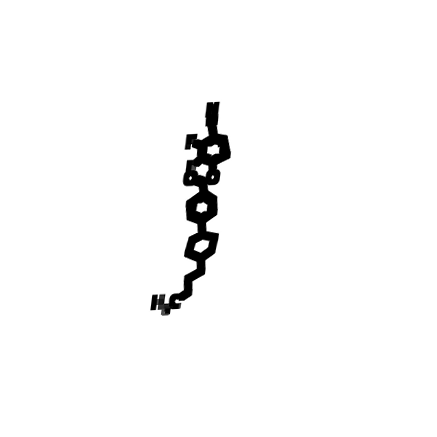 CCCCC1CCC(c2ccc(C(=O)Oc3ccc(C#N)c(F)c3F)cc2)CC1